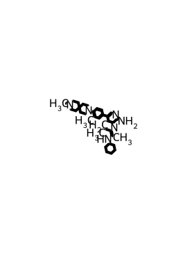 C=C1C(c2ccc(N3CCC4(CCN(C)CC4)CC3)c(C)c2)=CN=C(N)/C1=N/C(CC)=C(\C)NC1CCCCC1